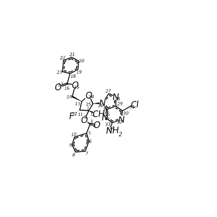 C[C@@]1(OC(=O)c2ccccc2)[C@H](F)[C@@H](COC(=O)c2ccccc2)O[C@H]1n1cnc2c(Cl)nc(N)nc21